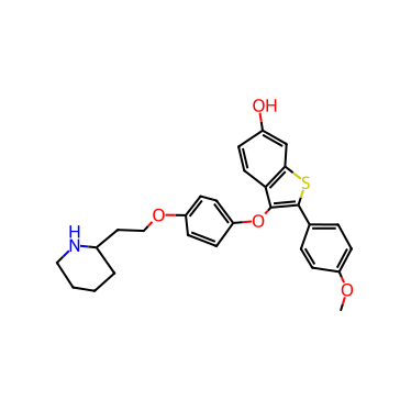 COc1ccc(-c2sc3cc(O)ccc3c2Oc2ccc(OCCC3CCCCN3)cc2)cc1